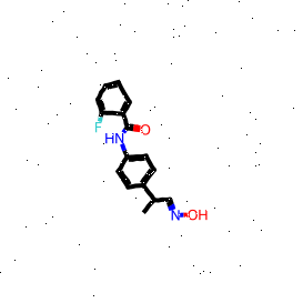 CC(C=NO)c1ccc(NC(=O)c2ccccc2F)cc1